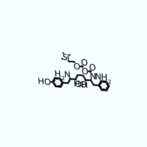 C[Si](C)(C)CCOC(=O)OC(=O)N(N)C(Cc1ccccc1)C(O)CCC(O)C(N)Cc1ccc(O)cc1